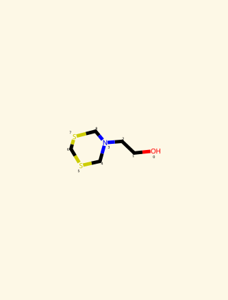 OCCN1CSCSC1